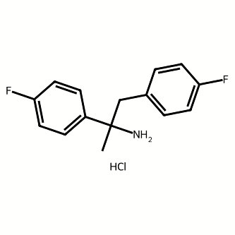 CC(N)(Cc1ccc(F)cc1)c1ccc(F)cc1.Cl